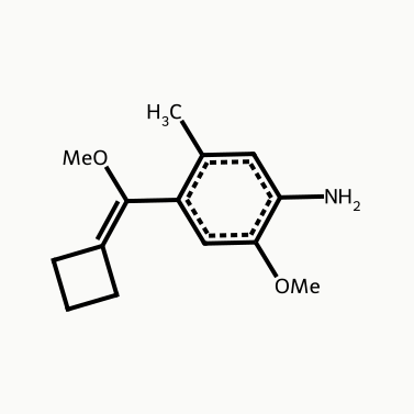 COC(=C1CCC1)c1cc(OC)c(N)cc1C